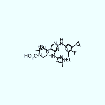 CCn1nc(Nc2nc(Nc3cc(C4CC4)c(F)c(C)n3)ncc2N2CCN(C(=O)O)C(C)(C(C)(C)C)C2)cc1C